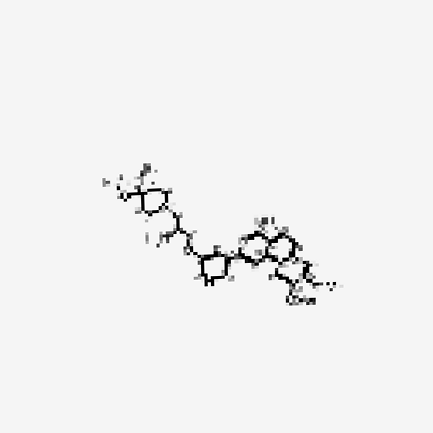 CCOC1(OCC)CCN(C[C@H](N)COc2cncc(-c3cc4c(cnc5cc(OC)c(OC)cc54)c(N)n3)c2)CC1